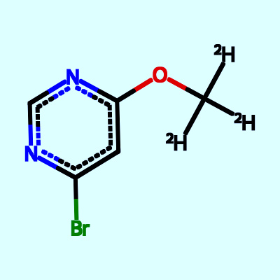 [2H]C([2H])([2H])Oc1cc(Br)ncn1